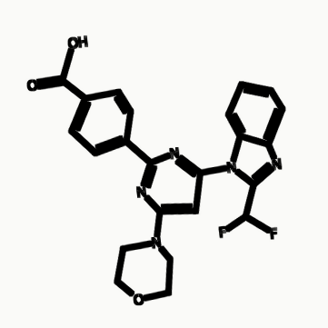 O=C(O)c1ccc(-c2nc(N3CCOCC3)cc(-n3c(C(F)F)nc4ccccc43)n2)cc1